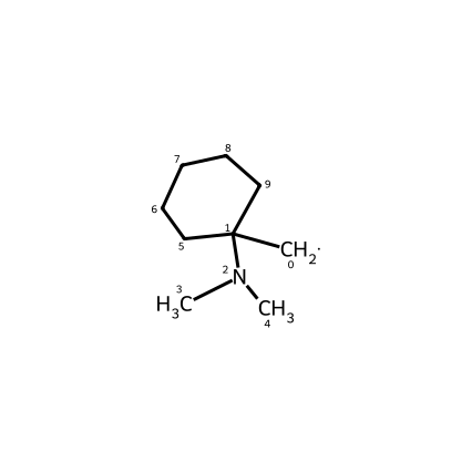 [CH2]C1(N(C)C)CCCCC1